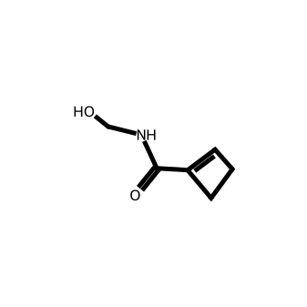 O=C(NCO)C1=CCC1